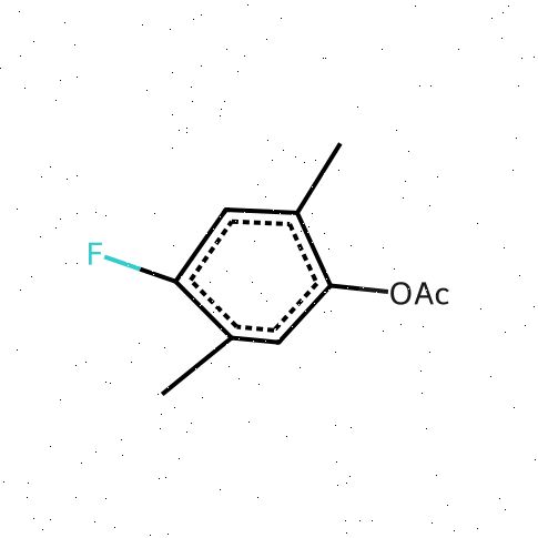 CC(=O)Oc1cc(C)c(F)cc1C